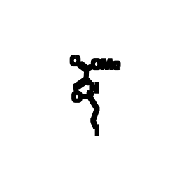 COC(=O)c1coc(CCI)n1